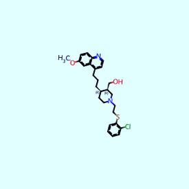 COc1ccc2nccc(CCC[C@@H]3CCN(CCSc4ccccc4Cl)C[C@@H]3CO)c2c1